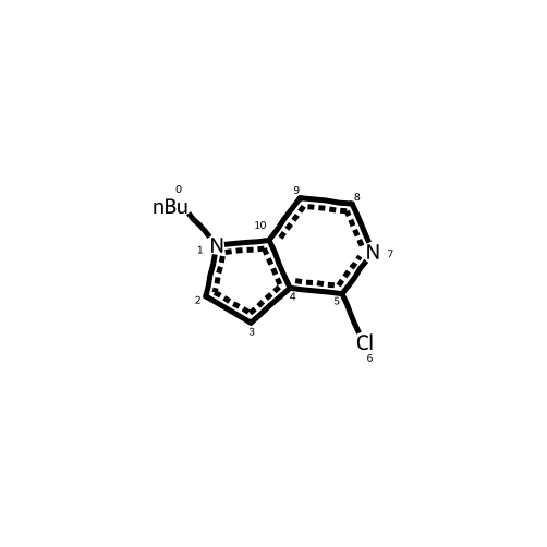 CCCCn1ccc2c(Cl)nccc21